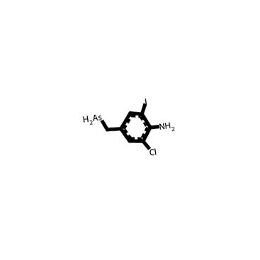 Nc1c(Cl)cc(C[AsH2])cc1I